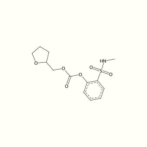 CNS(=O)(=O)c1ccccc1OC(=O)OCC1CCCO1